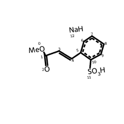 COC(=O)C=Cc1ccccc1S(=O)(=O)O.[NaH]